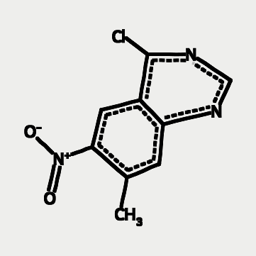 Cc1cc2ncnc(Cl)c2cc1[N+](=O)[O-]